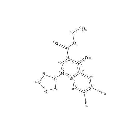 CCOC(=O)c1cn(C2CCOC2)c2cc(F)c(F)cc2c1=O